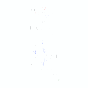 Cc1nn(C(C)c2ccc(Cl)cc2Cl)c2nc(N3CCC(C4CCCN(C(=O)OC(C)(C)C)C4)C(C)C3)cnc12